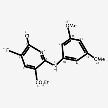 CCOC(=O)c1cc(F)c(Cl)nc1Nc1cc(OC)cc(OC)c1